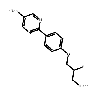 CCCCCCCCCc1cnc(-c2ccc(OCC(F)CC(C)CCC)cc2)nc1